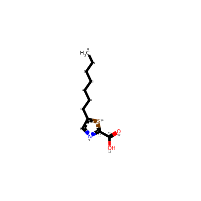 CCCCCCCc1cnc(C(=O)O)s1